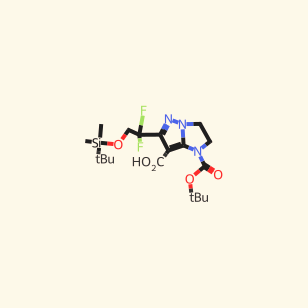 CC(C)(C)OC(=O)N1CCn2nc(C(F)(F)CO[Si](C)(C)C(C)(C)C)c(C(=O)O)c21